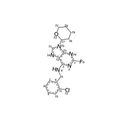 Fc1nc(NCc2ccccc2Cl)c2ncn(C3CCCCO3)c2n1